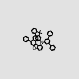 CC1(C)c2ccccc2-c2ccc(N(c3cc(-c4ccccc4)cc(-c4ccccc4)c3)c3cccc4oc5cc(-c6ccccc6)c6ccccc6c5c34)cc21